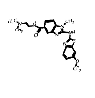 CN(C)CCNC(=O)c1ccc2c(c1)nc(Nc1nc3ccc(OC(F)(F)F)cc3s1)n2C